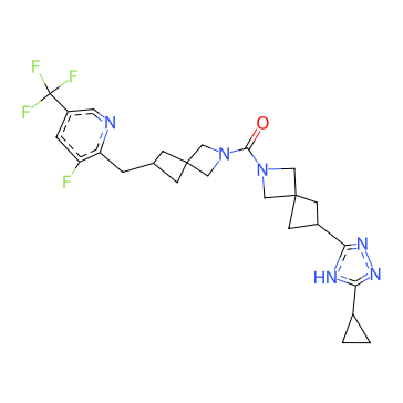 O=C(N1CC2(CC(Cc3ncc(C(F)(F)F)cc3F)C2)C1)N1CC2(CC(c3nnc(C4CC4)[nH]3)C2)C1